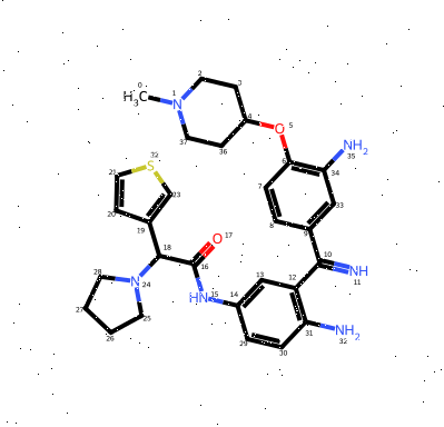 CN1CCC(Oc2ccc(C(=N)c3cc(NC(=O)C(c4ccsc4)N4CCCC4)ccc3N)cc2N)CC1